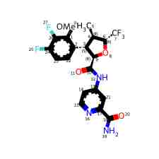 COc1c([C@@H]2[C@@H](C)[C@H](C(F)(F)F)O[C@H]2C(=O)Nc2ccnc(C(N)=O)c2)ccc(F)c1F